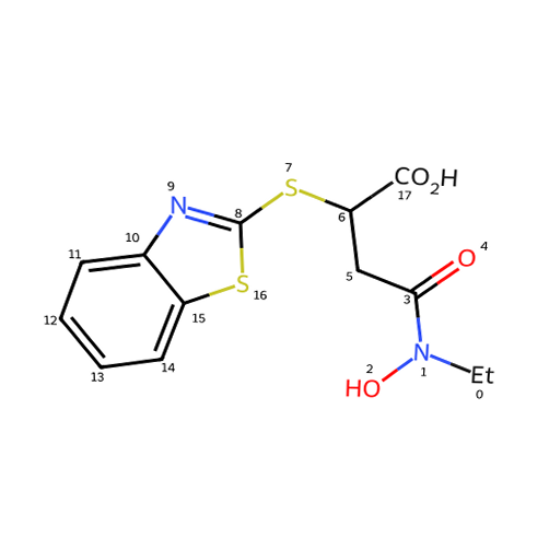 CCN(O)C(=O)CC(Sc1nc2ccccc2s1)C(=O)O